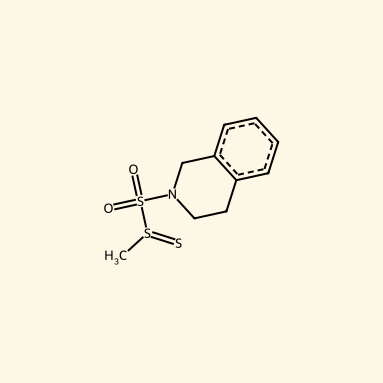 CS(=S)S(=O)(=O)N1CCc2ccccc2C1